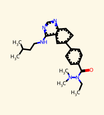 CCN(C(=O)c1ccc(-c2ccc3ncnc(NCCC(C)C)c3c2)cc1)N(C)C